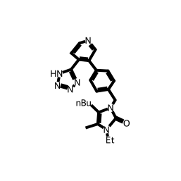 CCCCc1c(C)n(CC)c(=O)n1Cc1ccc(-c2cnccc2-c2nnn[nH]2)cc1